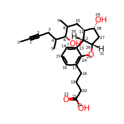 CC#CCC(C)[C@H](O)C(C)C[C@@H]1[C@H]2c3cccc(CCCC(=O)O)c3O[C@H]2C[C@H]1O